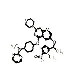 CC(Oc1cnc2cc(N3CCOCC3)nc(OC3CCC(N(C)c4ncccn4)CC3)c2c1)c1cnc([N+](=O)[O-])n1C